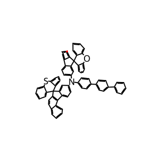 c1ccc(-c2ccc(-c3ccc(N(c4ccc5c(c4)C4(c6ccccc6Oc6ccccc64)c4ccccc4-5)c4ccc5c(c4)C4(c6ccccc6Sc6ccccc64)c4ccc6ccccc6c4-5)cc3)cc2)cc1